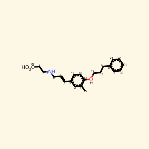 Cc1cc(/C=C/CNCCC(=O)O)ccc1OCCCc1ccccc1